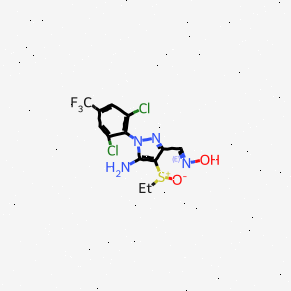 CC[S+]([O-])c1c(/C=N/O)nn(-c2c(Cl)cc(C(F)(F)F)cc2Cl)c1N